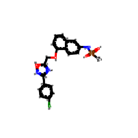 O=S(=O)(Nc1ccc2c(OCc3nc(-c4ccc(Cl)cc4)no3)cccc2c1)C(F)(F)F